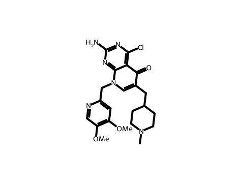 COc1cnc(Cn2cc(CC3CCN(C)CC3)c(=O)c3c(Cl)nc(N)nc32)cc1OC